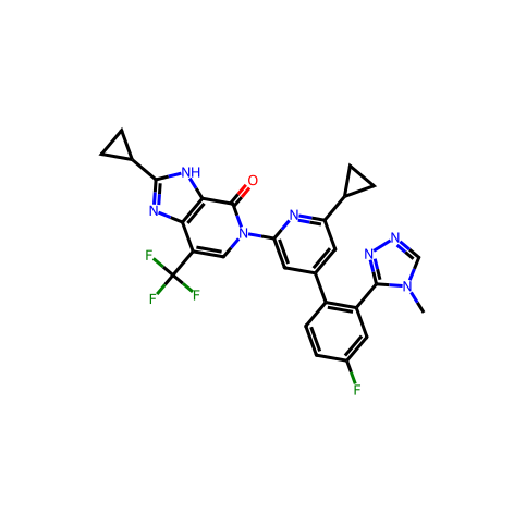 Cn1cnnc1-c1cc(F)ccc1-c1cc(C2CC2)nc(-n2cc(C(F)(F)F)c3nc(C4CC4)[nH]c3c2=O)c1